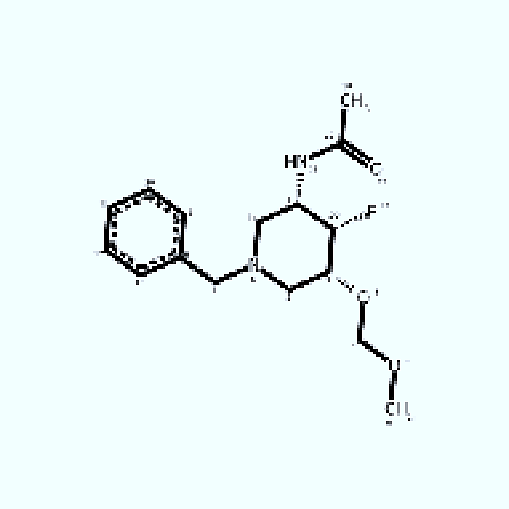 COCO[C@@H]1CN(Cc2ccccc2)C[C@H](NC(C)=O)[C@@H]1F